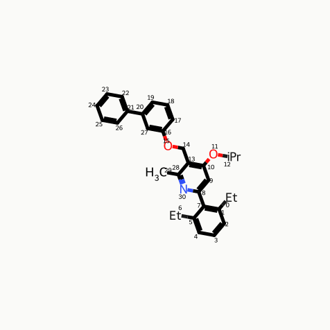 CCc1cccc(CC)c1-c1cc(OC(C)C)c(COc2cccc(-c3ccccc3)c2)c(C)n1